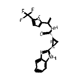 CC(NC(=O)[C@@H]1C[C@H]1c1nc2ccccc2[nH]1)c1ccc(C(F)(F)F)s1